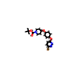 CC(C)(C)OC(=O)N1CCC(OC2CCC(Oc3ccc(Br)nn3)CC2)CC1